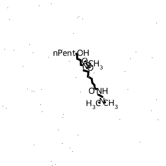 CCCCCC(O)CCCN(CCCCCCC(=O)NCCN(C)C)S(C)(=O)=O